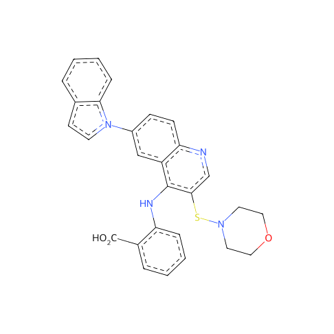 O=C(O)c1ccccc1Nc1c(SN2CCOCC2)cnc2ccc(-n3ccc4ccccc43)cc12